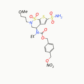 CCN(C(=O)OCc1ccc(CO[N+](=O)[O-])cc1)[C@H]1CN(CCCOC)S(=O)(=O)c2sc(S(N)(=O)=O)cc21